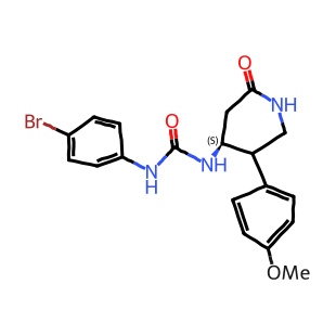 COc1ccc(C2CNC(=O)C[C@@H]2NC(=O)Nc2ccc(Br)cc2)cc1